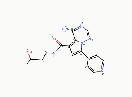 CC(O)CCNC(=O)c1cc(-c2ccncc2)n2ncnc(N)c12